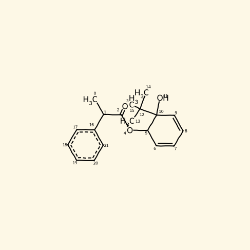 CC(C(=O)OC1C=CC=CC1(O)C(C)(C)C)c1ccccc1